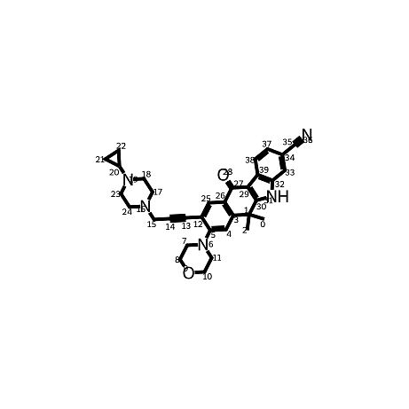 CC1(C)c2cc(N3CCOCC3)c(C#CCN3CCN(C4CC4)CC3)cc2C(=O)c2c1[nH]c1cc(C#N)ccc21